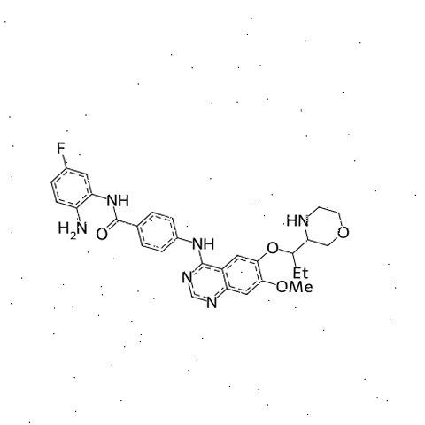 CCC(Oc1cc2c(Nc3ccc(C(=O)Nc4cc(F)ccc4N)cc3)ncnc2cc1OC)C1COCCN1